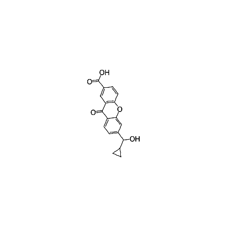 O=C(O)c1ccc2oc3cc(C(O)C4CC4)ccc3c(=O)c2c1